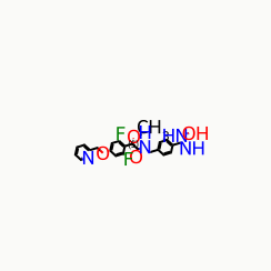 CCO[C@H](C(=O)NCc1ccc(C(=N)NO)cc1)c1c(F)cc(OCc2ccccn2)cc1F